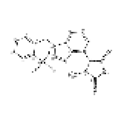 CN1C(=O)SC(=O)C1c1cccc2c1ccn2Cc1ccccc1C(F)(F)F